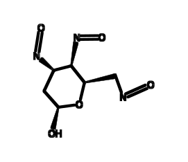 O=NC[C@H]1O[C@@H](O)C[C@@H](N=O)[C@H]1N=O